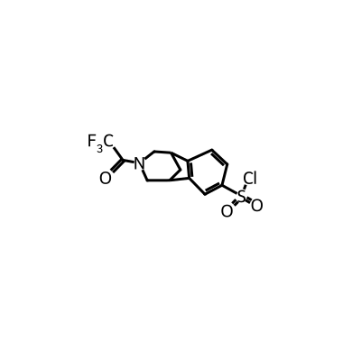 O=C(N1CC2CC(C1)c1cc(S(=O)(=O)Cl)ccc12)C(F)(F)F